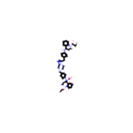 CCC(=O)N1c2ccccc2[C@H](N(C(=O)O)c2ccc(CN3CCn4c(Cc5ccc(N[C@@H]6C[C@H](C)N(C(=O)CC)c7ccccc76)cc5)cnc4C3)cc2)C[C@@H]1C